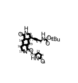 CC(C)(C)OC(=O)NCC#Cc1c[nH]c(=O)c2cc3ccnc(OC[C@@H]4CCC(=O)N4)c3cc12